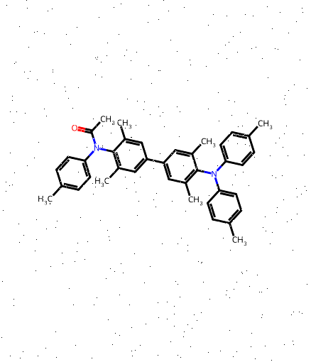 CC(=O)N(c1ccc(C)cc1)c1c(C)cc(-c2cc(C)c(N(c3ccc(C)cc3)c3ccc(C)cc3)c(C)c2)cc1C